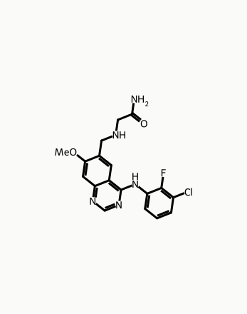 COc1cc2ncnc(Nc3cccc(Cl)c3F)c2cc1CNCC(N)=O